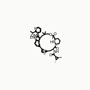 CCn1c(-c2cccnc2[C@H](C)OC)c2c3cc(ccc31)-c1csc(n1)C[C@H](NC(=O)C1[C@@H](C)[C@@H]1C)C(=O)N1CCC[C@H](N1)C(=O)OCC(C)(C)C2